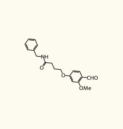 COc1cc(OCCCC(=O)NCc2ccccc2)ccc1C=O